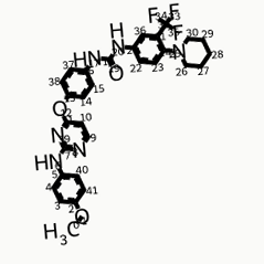 COc1ccc(Nc2nccc(Oc3ccc(NC(=O)Nc4ccc(N5CCCCC5)c(C(F)(F)F)c4)cc3)n2)cc1